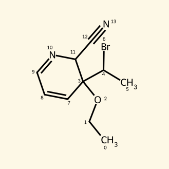 CCOC1(C(C)Br)C=CC=NC1C#N